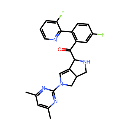 Cc1cc(C)nc(N2C=C3C(CNC3C(=O)c3cc(F)ccc3-c3ncccc3F)C2)n1